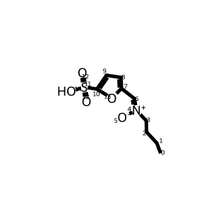 CCCC[N+]([O-])=Cc1ccc(S(=O)(=O)O)o1